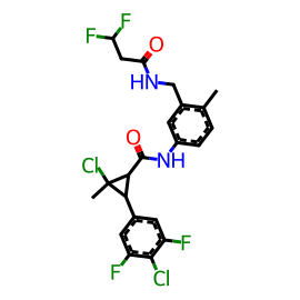 Cc1ccc(NC(=O)C2C(c3cc(F)c(Cl)c(F)c3)C2(C)Cl)cc1CNC(=O)CC(F)F